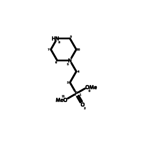 COP(=O)(CCN1CCNCC1)OC